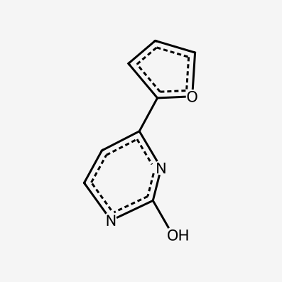 Oc1nccc(-c2ccco2)n1